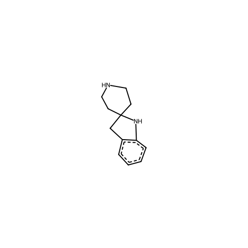 c1ccc2c(c1)CC1(CCNCC1)N2